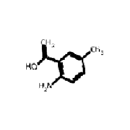 C=C(O)c1cc(C)ccc1N